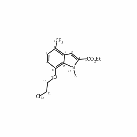 CCOC(=O)c1cc2c(C(F)(F)F)ccc(OCCCl)c2n1C